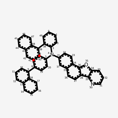 c1ccc(N(c2ccc(-c3cccc4ccccc34)cc2)c2ccc3c(ccc4c5ncccc5oc34)c2)c(-c2cccc3ccccc23)c1